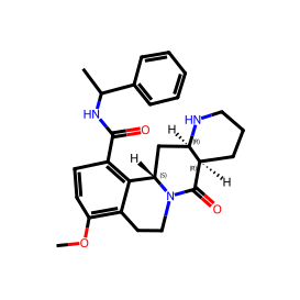 COc1ccc(C(=O)NC(C)c2ccccc2)c2c1CCN1C(=O)[C@@H]3CCCN[C@@H]3C[C@@H]21